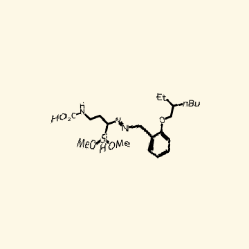 CCCCC(CC)COc1ccccc1CN=NC(CCNC(=O)O)[SiH](OC)OC